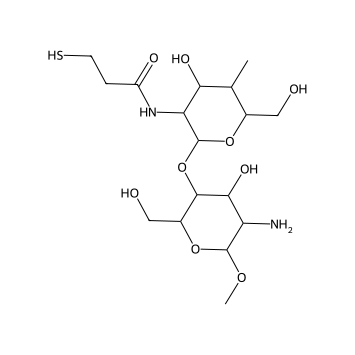 COC1OC(CO)C(OC2OC(CO)C(C)C(O)C2NC(=O)CCS)C(O)C1N